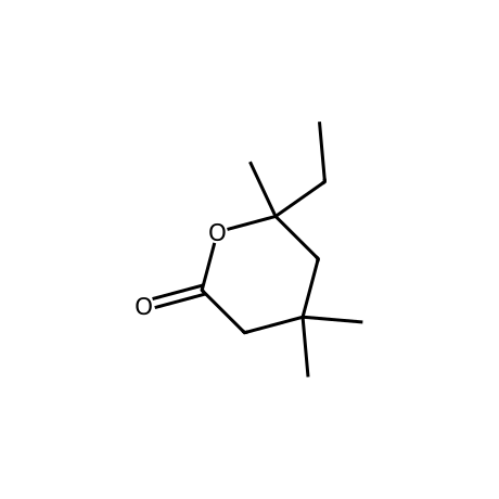 CCC1(C)CC(C)(C)CC(=O)O1